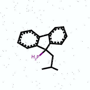 CC(C)CC1(P)c2ccccc2-c2ccccc21